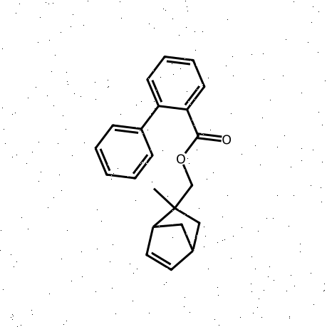 CC1(COC(=O)c2ccccc2-c2ccccc2)CC2C=CC1C2